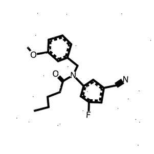 CCCCC(=O)N(Cc1cccc(OC)c1)c1cc(F)cc(C#N)c1